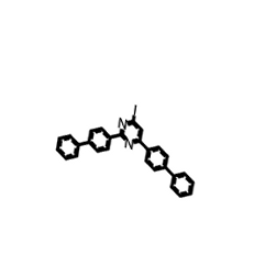 Ic1cc(-c2ccc(-c3ccccc3)cc2)nc(-c2ccc(-c3ccccc3)cc2)n1